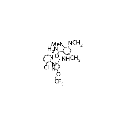 C=Nc1cc(C)c(NCc2cc(OCC(F)(F)F)nn2-c2ncccc2Cl)c(C(N)=O)c1NC